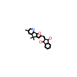 Cc1cnc2c(c1)C(C)(C)c1cc(C=C3C(=O)c4ccccc4C3=O)oc1-2